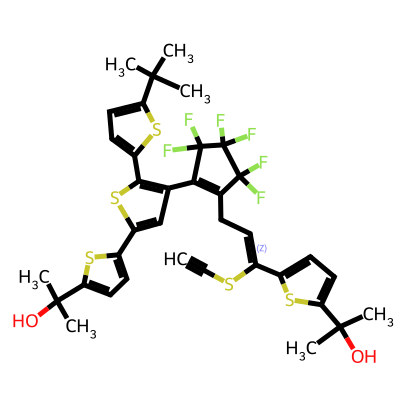 C#CS/C(=C\CC1=C(c2cc(-c3ccc(C(C)(C)O)s3)sc2-c2ccc(C(C)(C)C)s2)C(F)(F)C(F)(F)C1(F)F)c1ccc(C(C)(C)O)s1